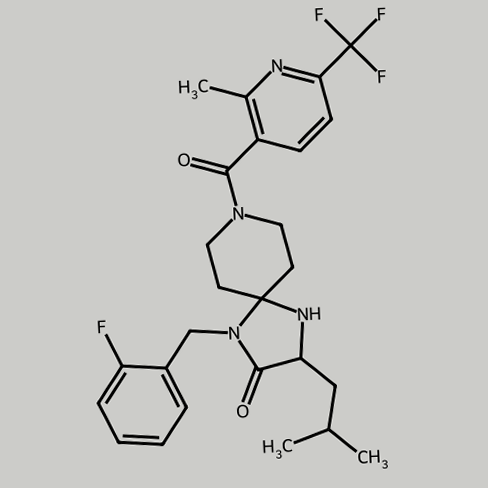 Cc1nc(C(F)(F)F)ccc1C(=O)N1CCC2(CC1)NC(CC(C)C)C(=O)N2Cc1ccccc1F